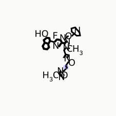 Cc1noc(/C=C/C(=O)N2CC(CN(C)c3nc(OCC45CCCN4CCC5)nc4c(F)c(-c5cc(O)cc6ccccc56)ncc34)C2)n1